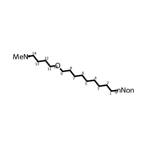 CCCCCCCCCCCCCCCCCCOCCCCNC